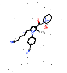 Cc1c(C(=O)CN2C3CCC2[C@@H](O)C3)cc(/C=C/CCC#N)n1-c1ccc(C#N)cc1